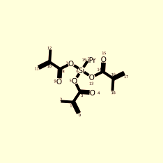 C=C(C)C(=O)O[Si](OC(=O)C(=C)C)(OC(=O)C(=C)C)C(C)C